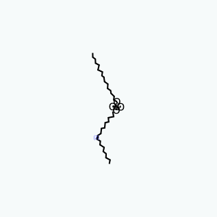 CCCCCCCC/C=C\CCCCCCCCOS(=O)(=O)OCCCCCCCCCCCCCCCC